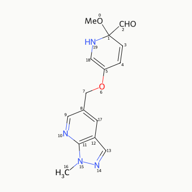 COC1(C=O)C=CC(OCc2cnc3c(cnn3C)c2)=CN1